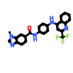 Cn1cnc2ccc(C(=O)Nc3ccc(Nc4cc(C(F)(F)F)nc5ccccc45)cc3)cc21